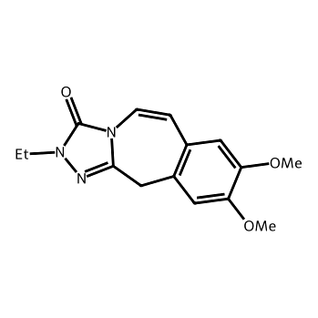 CCn1nc2n(c1=O)C=Cc1cc(OC)c(OC)cc1C2